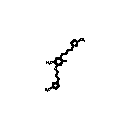 Cc1cc(OCCC[n+]2ccn(C)c2)c(I)cc1OCCC[n+]1ccn(C)c1